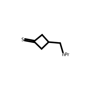 [CH2]CCCC1CC(=S)C1